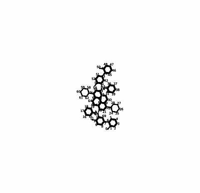 Cc1ccccc1-c1ccc(C)c(N(c2ccccc2)c2cc(C3CCCCC3)c3ccc4c(N(c5ccccc5)c5cc(-c6ccccc6C)ccc5C)cc(C5CCCCC5)c5ccc2c3c54)c1